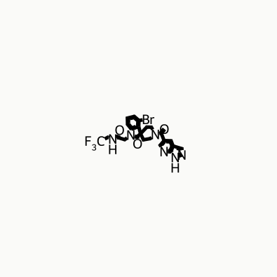 O=C(CN1C(=O)C2(CCN(C(=O)c3cnc4[nH]ncc4c3)CC2)c2c(Br)cccc21)NCC(F)(F)F